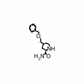 NC(=O)C1CC([CH]COCc2ccccc2)CCN1